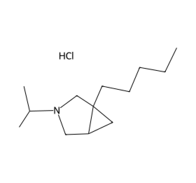 CCCCCC12CC1CN(C(C)C)C2.Cl